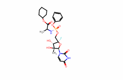 CC(N[P@](=O)(OC[C@@]1(F)O[C@@H](n2ccc(=O)[nH]c2=O)[C@](C)(O)[C@@H]1O)Oc1ccccc1)C(=O)OC1CCCCC1